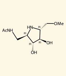 COC[C@H]1N[C@H](CNC(C)=O)[C@@H](O)[C@@H]1O